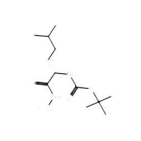 CC(C)CC[C@H](NC(=O)OC(C)(C)C)C(=O)NO